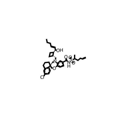 C=CCCC(C)S(=O)(=O)NC(=O)c1ccc2c(c1)N(C[C@@H]1CC[C@H]1C(O)/C=C/CCC)C[C@@]1(CCCc3cc(Cl)ccc31)CO2